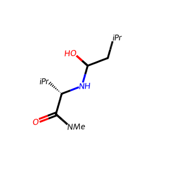 CNC(=O)[C@@H](NC(O)CC(C)C)C(C)C